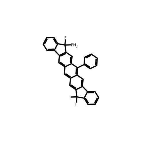 FC1(F)c2ccccc2-c2cc3c(-c4ccccc4)c4cc5c(cc4cc3cc21)-c1ccccc1C5(F)P